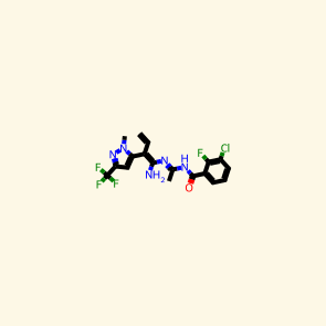 C=C/C(=C(N)\N=C(/C)NC(=O)c1cccc(Cl)c1F)c1cc(C(F)(F)F)nn1C